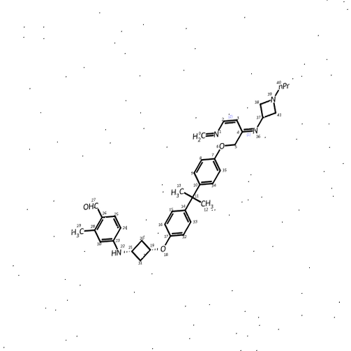 C=N/C=C\C(COc1ccc(C(C)(C)c2ccc(O[C@H]3C[C@@H](Nc4ccc(C=O)c(C)c4)C3)cc2)cc1)=N/C1CN(CCC)C1